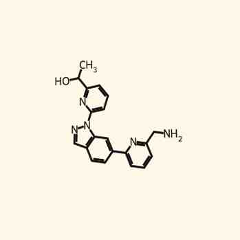 CC(O)c1cccc(-n2ncc3ccc(-c4cccc(CN)n4)cc32)n1